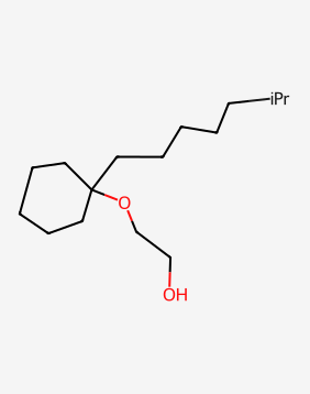 CC(C)CCCCCC1(OCCO)CCCCC1